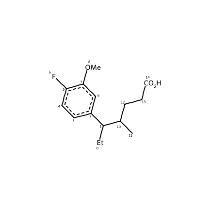 CCC(c1ccc(F)c(OC)c1)C(C)CCC(=O)O